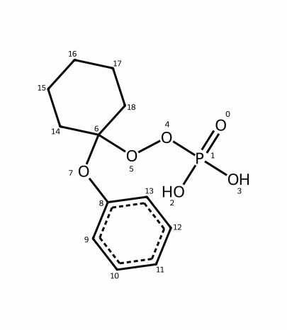 O=P(O)(O)OOC1(Oc2ccccc2)CCCCC1